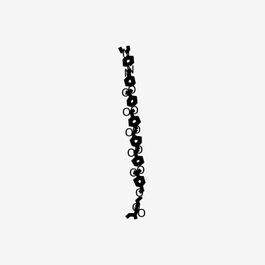 CCC(C)C(=O)OCCCOCc1ccc(C(=O)Oc2ccc(C(=O)Oc3ccc(C(=O)Oc4ccc(C(=O)Oc5ccc(C(=O)Oc6ccc(N=Nc7ccc(N(CC)CC)cc7)cc6)cc5)cc4)cc3)cc2)cc1